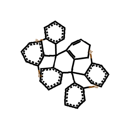 Brc1ccccc1C1(c2ccccc2Br)C2=C(CCC=C2)C(c2ccccc2Br)(c2ccccc2Br)c2ccccc21